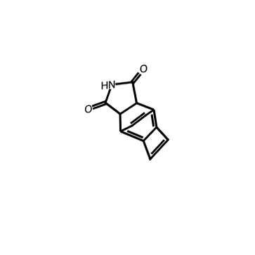 O=C1NC(=O)C2c3ccc(c4c3C=C4)C12